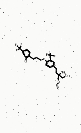 NC(CO)(CCc1ccc(OCCCc2ccc(C(F)(F)F)cc2Cl)c(C(F)(F)F)c1)COP=O